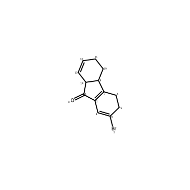 O=C1C2=C(CCC(Br)=C2)C2CCC=CC12